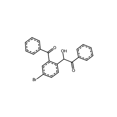 O=C(c1ccccc1)c1cc(Br)ccc1C(O)C(=O)c1ccccc1